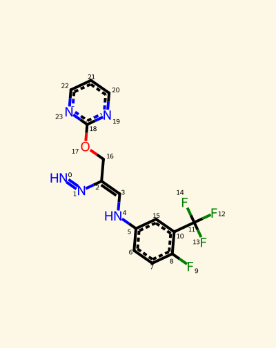 N=N/C(=C\Nc1ccc(F)c(C(F)(F)F)c1)COc1ncccn1